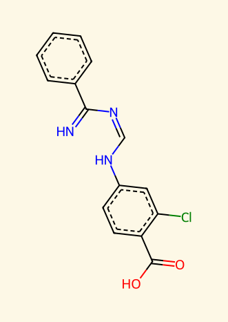 N=C(/N=C\Nc1ccc(C(=O)O)c(Cl)c1)c1ccccc1